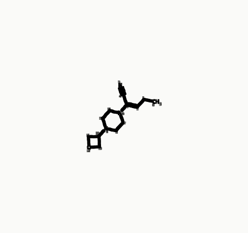 CCC=C(C#N)N1CCN(C2COC2)CC1